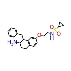 NC1CCc2ccc(OCCNS(=O)(=O)C3CC3)cc2C1Cc1ccccc1